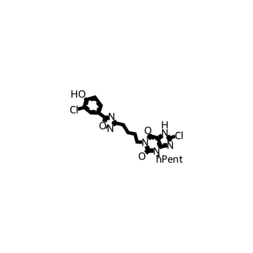 CCCCCn1c(=O)n(CCCCc2noc(-c3ccc(O)c(Cl)c3)n2)c(=O)c2[nH]c(Cl)nc21